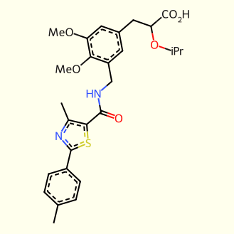 COc1cc(CC(OC(C)C)C(=O)O)cc(CNC(=O)c2sc(-c3ccc(C)cc3)nc2C)c1OC